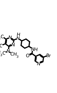 Cc1nc(NC2CCC(NC(=O)c3cncc(Br)c3)CC2)nc(N(C)C)c1C